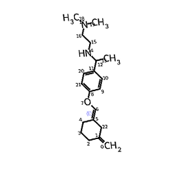 C=C1CCC/C(=C\Oc2ccc(C(C)NCCN(C)C)cc2)C1